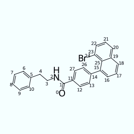 O=C(NCCc1ccccc1)c1ccc(-c2cccc3cccc(Br)c23)cc1